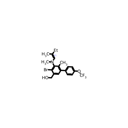 CC/C(C)=C/N(C)c1c(C)c(-c2ccc(OC(F)(F)F)cc2)cc(CO)c1Br